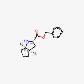 O=C(OCc1ccccc1)[C@H]1C[C@H]2CCC[C@H]2N1